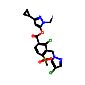 CS(=O)(=O)c1ccc(C(=O)Oc2cc(C3CC3)nn2CI)c(Cl)c1Cn1cc(Cl)cn1